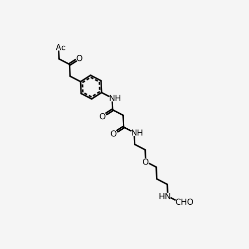 CC(=O)CC(=O)Cc1ccc(NC(=O)CC(=O)NCCOCCCNC=O)cc1